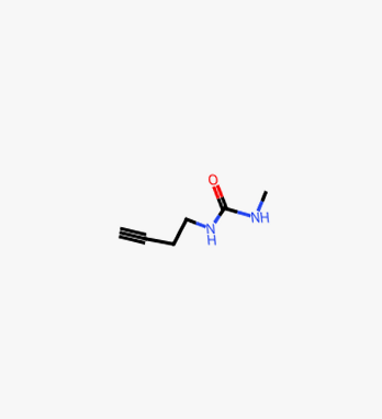 C#CCCNC(=O)NC